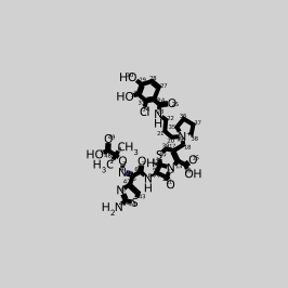 CC(C)(O/N=C(\C(=O)N[C@@H]1C(=O)N2C(C(=O)O)=C(C[N+]3(CCCNC(=O)c4ccc(O)c(O)c4Cl)CCCC3)CS[C@H]12)c1csc(N)n1)C(=O)O